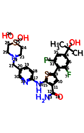 CC(C)(O)c1cc(F)c(-c2cc(C(N)=O)c(Nc3ccc(CN4CCS(O)(O)CC4)cn3)s2)c(F)c1